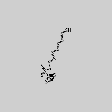 S=S(=S)(SSSSSSSSS)S12#SC1S2